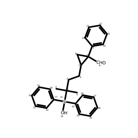 CC(C)(CCC1CC1(C=O)c1ccccc1)[Si](O)(c1ccccc1)c1ccccc1